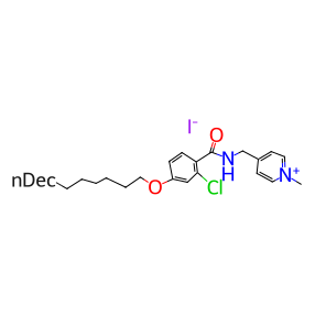 CCCCCCCCCCCCCCCCOc1ccc(C(=O)NCc2cc[n+](C)cc2)c(Cl)c1.[I-]